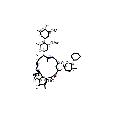 CO[C@H]1CC([C@H]2[C@H](C)O[C@@H](C3/C(C)=C/C[C@@H]4C[C@@H](C[C@]5(C=C[C@H](C)[C@@H](C6CCCCC6)O5)O4)OC(=O)[C@@H]4C=C(C)C(=O)[C@H]5OC/C(=C\C=C\[C@@H]3C)[C@]54O)C[C@@H]2OC)O[C@@H](C)[C@@H]1O